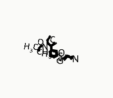 CC(C)C(=O)NC1CCCCC1c1cccc(S(=O)(=O)C=CC#N)c1